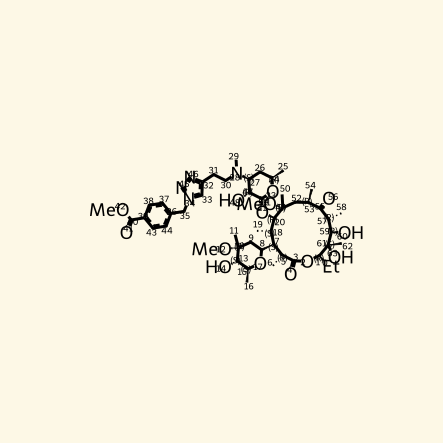 CC[C@H]1OC(=O)[C@H](C)[C@@H](C2C[C@@](C)(OC)[C@@H](O)[C@H](C)O2)[C@H](C)[C@@H](O[C@@H]2O[C@H](C)C[C@H](N(C)CCc3cn(Cc4ccc(C(=O)OC)cc4)nn3)[C@H]2O)[C@](C)(OC)C[C@@H](C)C(=O)[C@H](C)[C@@H](O)[C@]1(C)O